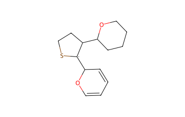 C1=COC([C]2SCCC2C2CCCCO2)C=C1